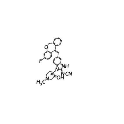 CN1CC[C@@H](n2c(=NC#N)[nH]c3cc(C=C4c5ccccc5COc5cc(F)ccc54)ccc32)[C@H](O)C1